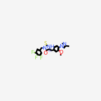 COc1cc(/C=C2\NC(=S)N(Cc3cc(F)c(F)c(F)c3)C2=O)ccc1-n1cnc(C)c1